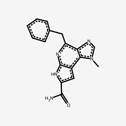 Cn1cnc2c(Cc3ccccc3)nc3[nH]c(C(N)=O)cc3c21